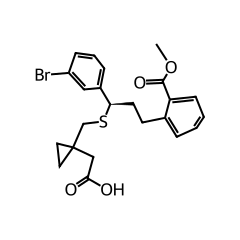 COC(=O)c1ccccc1CC[C@@H](SCC1(CC(=O)O)CC1)c1cccc(Br)c1